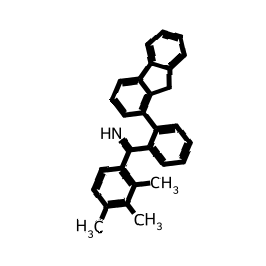 Cc1ccc(C(=N)c2ccccc2-c2cccc3c2Cc2ccccc2-3)c(C)c1C